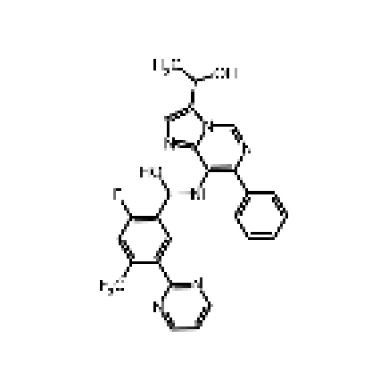 CC(O)c1cnc2c(NC(O)c3cc(-c4ncccn4)c(C(F)(F)F)cc3F)c(-c3ccccc3)ncn12